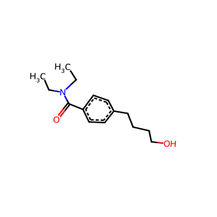 CCN(CC)C(=O)c1ccc(CCCCO)cc1